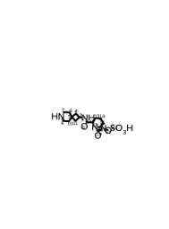 O=C(NC1CC2(CCNCC2)C1)C1CCC2CN1C(=O)N2OS(=O)(=O)O